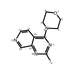 Ic1nc(N2CCOCC2)c2ccncc2n1